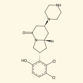 O=C1C[C@@H](N2CCNCC2)C[C@@H]2C[C@H](c3c(O)ccc(Cl)c3Cl)CN12